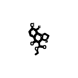 CCOC(=O)c1c2n(c3c(F)c(Cl)ccc3c1=O)CCS2